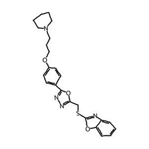 c1ccc2oc(SCc3nnc(-c4ccc(OCCCN5CCCCC5)cc4)o3)nc2c1